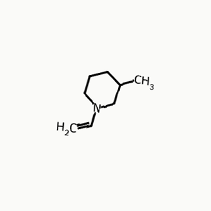 C=CN1CCCC(C)C1